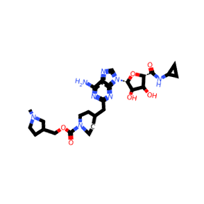 CN1CCC(COC(=O)N2CCC(Cc3nc(N)c4ncn([C@@H]5O[C@H](C(=O)NC6CC6)C(O)C5O)c4n3)CC2)C1